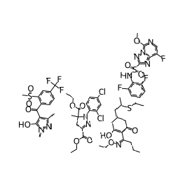 CCC/C(=N/OCC)C1=C(O)CC(CC(C)SCC)CC1=O.CCOC(=O)C1=NN(c2ccc(Cl)cc2Cl)C(C)(C(=O)OCC)C1.COc1ncc(F)c2nc(S(=O)(=O)Nc3c(F)cccc3F)nn12.Cc1nn(C)c(O)c1C(=O)c1ccc(C(F)(F)F)cc1S(C)(=O)=O